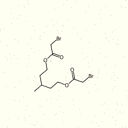 CC(CCOC(=O)CBr)CCOC(=O)CBr